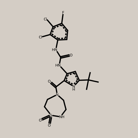 CC(C)(C)c1cc(NC(=O)Nc2ccc(F)c(Cl)c2Cl)c(C(=O)N2CCNS(=O)(=O)CC2)[nH]1